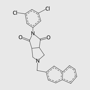 O=C1C2CN(Cc3ccc4ccccc4c3)CC2C(=O)N1c1cc(Cl)cc(Cl)c1